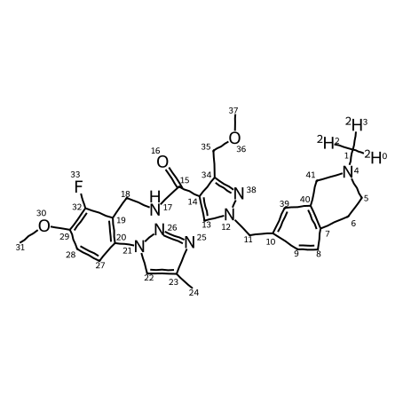 [2H]C([2H])([2H])N1CCc2ccc(Cn3cc(C(=O)NCc4c(-n5cc(C)nn5)ccc(OC)c4F)c(COC)n3)cc2C1